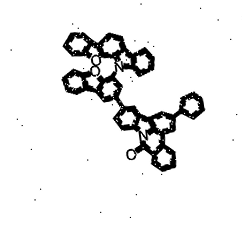 O=c1c2ccccc2c2cc(-c3ccccc3)cc3c4cc(-c5cc(-n6c7ccccc7c7ccc8c9ccccc9oc8c76)c6oc7ccccc7c6c5)ccc4n1c23